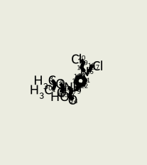 CCC(C)OC(=O)N[C@@H](Cc1ccc(N(CCCl)CCCl)cc1)C(=O)O